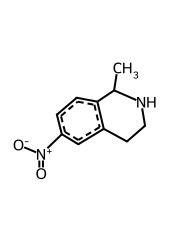 CC1NCCc2cc([N+](=O)[O-])ccc21